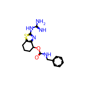 N=C(N)Nc1nc2c(s1)CCCC2OC(=O)NCc1ccccc1